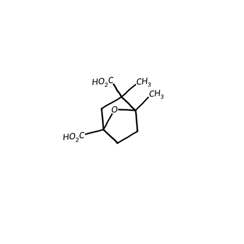 CC12CCC(C(=O)O)(CC1(C)C(=O)O)O2